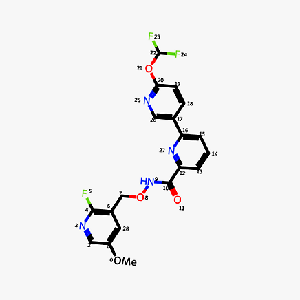 COc1cnc(F)c(CONC(=O)c2cccc(-c3ccc(OC(F)F)nc3)n2)c1